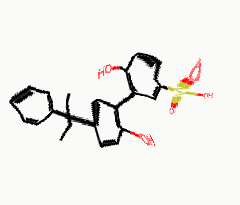 CC(C)(c1ccccc1)c1ccc(O)c(-c2cc(S(=O)(=O)O)ccc2O)c1